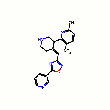 Cc1ccc([N+](=O)[O-])c(C2CNCCC2=Cc2noc(-c3cccnc3)n2)n1